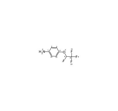 Nc1ccc(OC(F)C(F)(F)F)cc1